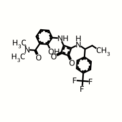 CCC(Nc1c(Nc2cccc(C(=O)N(C)C)c2O)c(=O)c1=O)c1ccc(C(F)(F)F)cc1